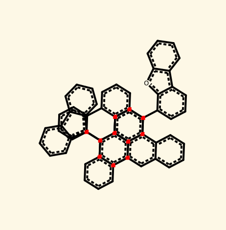 c1ccc(-c2ccccc2-n2c3ccccc3c3ccccc32)c(-c2ccccc2N(c2ccc(-c3cccc4c3oc3ccccc34)cc2)c2ccccc2-c2cc3ccccc3c3ccccc23)c1